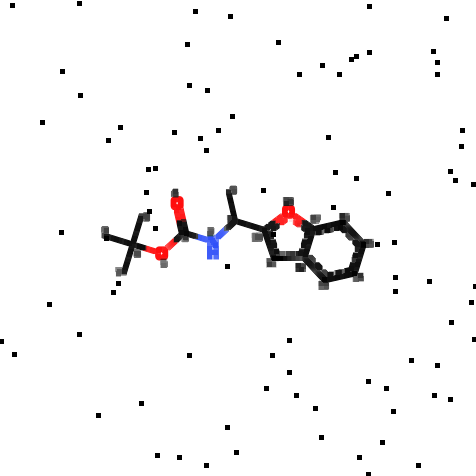 CC(NC(=O)OC(C)(C)C)c1cc2ccccc2o1